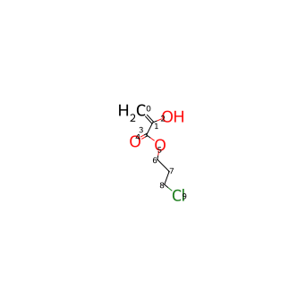 C=C(O)C(=O)OCCCCl